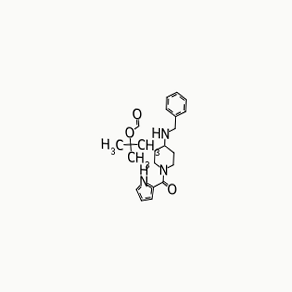 CC(C)(C)OC=O.O=C(c1ccc[nH]1)N1CCC(NCc2ccccc2)CC1